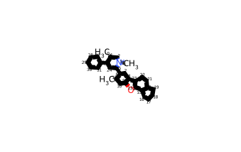 Cc1c[n+](C)c(-c2cc3c(cc2C)oc2c4ccccc4ccc32)cc1-c1ccccc1